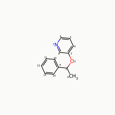 CC(Oc1cccnc1)c1ccccc1